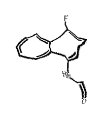 O=CNc1ccc(F)c2ccccc12